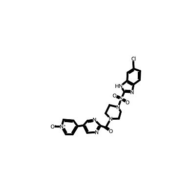 O=C(c1ncc(-c2cc[n+]([O-])cc2)cn1)N1CCN(S(=O)(=O)c2nc3ccc(Cl)cc3[nH]2)CC1